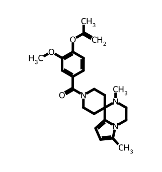 C=C(C)Oc1ccc(C(=O)N2CCC3(CC2)c2ccc(C)n2CCN3C)cc1OC